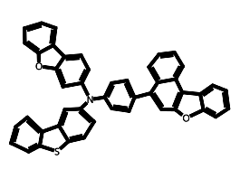 c1ccc2c(c1)oc1cc(N(c3ccc(-c4cc5oc6ccccc6c5c5ccccc45)cc3)c3ccc4sc5ccccc5c4c3)ccc12